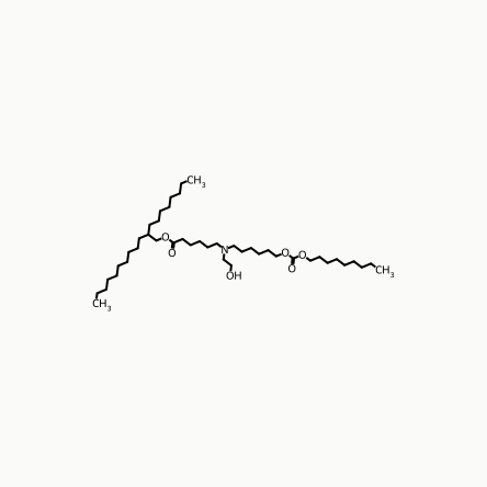 CCCCCCCCCCC(CCCCCCCC)COC(=O)CCCCCN(CCO)CCCCCCOC(=O)OCCCCCCCCC